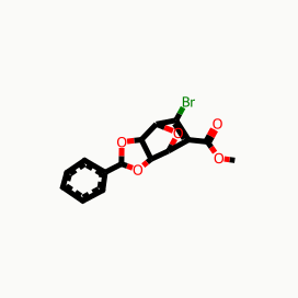 COC(=O)C1=C(Br)C2OC1C1OC(c3ccccc3)OC21